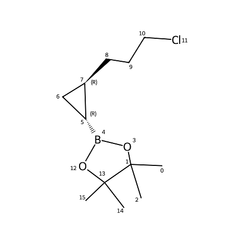 CC1(C)OB([C@@H]2C[C@H]2CCCCl)OC1(C)C